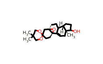 CC1(C)COC2(CC[C@]34O[C@]3(CC[C@@H]3C4=CC[C@]4(C)C(O)CC[C@@H]34)C2)OC1